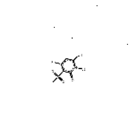 CCc1cc(O)n(CC)c(=O)c1S(C)(=O)=O